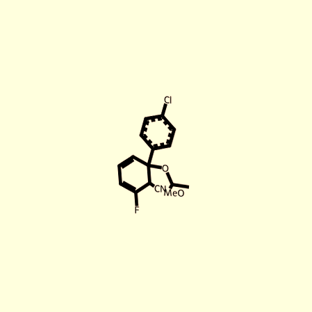 COC(C)OC1(c2ccc(Cl)cc2)C=CC=C(F)C1C#N